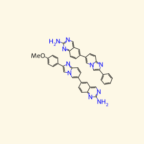 COc1ccc(-c2cn3cc(-c4ccc5nc(N)ncc5c4)ccc3n2)cc1.Nc1ncc2cc(-c3ccc4nc(-c5ccccc5)cn4c3)ccc2n1